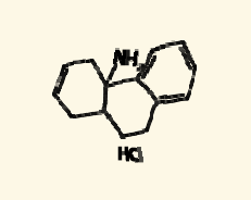 Cl.NC12CC=CCC1CCc1ccccc12